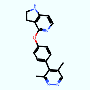 Cc1cnnc(C)c1-c1ccc(Oc2nccc3c2CCN3)cc1